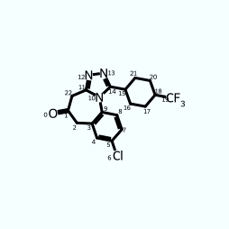 O=C1Cc2cc(Cl)ccc2-n2c(nnc2C2CCC(C(F)(F)F)CC2)C1